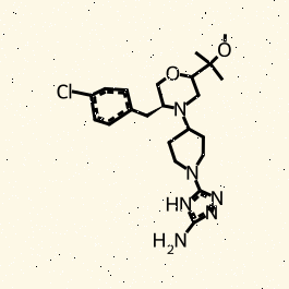 COC(C)(C)C1CN(C2CCN(c3nnc(N)[nH]3)CC2)[C@@H](Cc2ccc(Cl)cc2)CO1